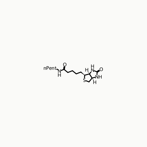 CCCCCNC(=O)CCCC[C@@H]1SC[C@@H]2NC(=O)N[C@@H]21